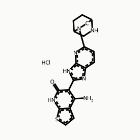 Cl.Nc1c(-c2nc3ccc(N4CC5CCC4CN5)nc3[nH]2)c(=O)[nH]c2sccc12